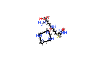 C1=Cc2cc3ccc(cc4nc(cc5ccc(cc1n2)[nH]5)C=C4)[nH]3.NC(CCCCNC(=O)CCCCC1SCC2NC(=O)NC21)C(=O)O